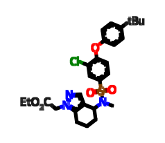 CCOC(=O)Cn1ncc2c1CCCC2N(C)S(=O)(=O)c1ccc(Oc2ccc(C(C)(C)C)cc2)c(Cl)c1